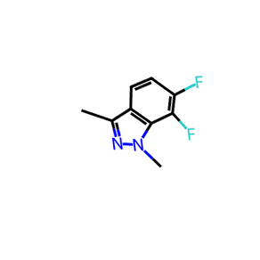 Cc1nn(C)c2c(F)c(F)ccc12